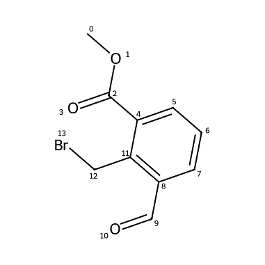 COC(=O)c1cccc(C=O)c1CBr